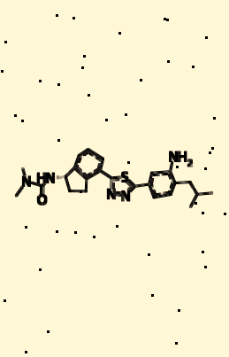 CC(C)Cc1ccc(-c2nnc(-c3cccc4c3CC[C@@H]4NC(=O)N(C)C)s2)cc1N